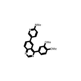 CNc1ccc(-c2ccc3ncnc(-c4ccc(OC)c(OC)c4)c3c2)cn1